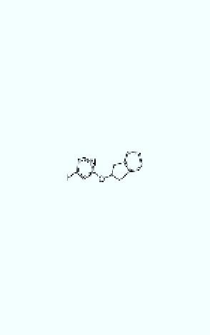 Ic1ccnc(OC2Cc3ccccc3C2)c1